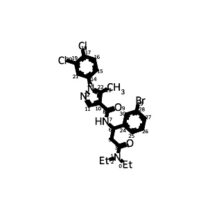 CCN(CC)C(=O)CC(NC(=O)c1cnn(-c2ccc(Cl)c(Cl)c2)c1C)c1cccc(Br)c1